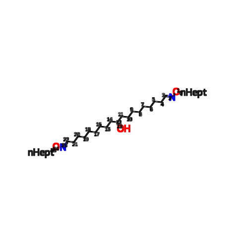 CCCCCCCO/N=C/CCCCCCCCC(O)CCCCCCCC/C=N/OCCCCCCC